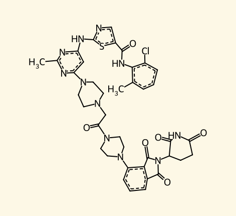 Cc1nc(Nc2ncc(C(=O)Nc3c(C)cccc3Cl)s2)cc(N2CCN(CC(=O)N3CCN(c4cccc5c4C(=O)N(C4CCC(=O)NC4=O)C5=O)CC3)CC2)n1